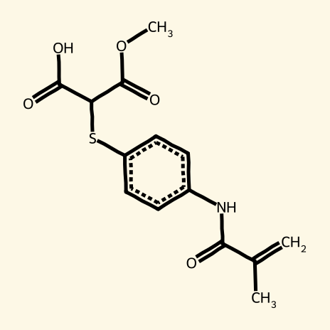 C=C(C)C(=O)Nc1ccc(SC(C(=O)O)C(=O)OC)cc1